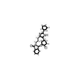 O=C1c2ccccc2C(=O)N1CCCc1nc(-c2ccccc2)[nH]c1-c1ccc(Cl)cc1